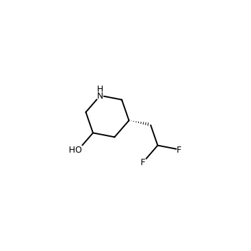 OC1CNC[C@H](CC(F)F)C1